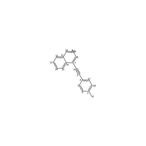 Cc1ccc(C#Cc2cncc3ccccc23)cc1